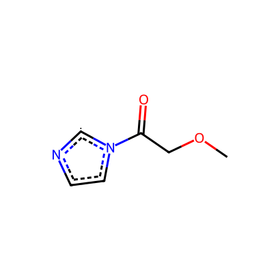 COCC(=O)n1[c]ncc1